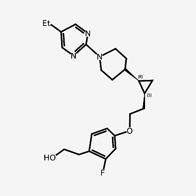 CCc1cnc(N2CCC([C@H]3C[C@H]3CCOc3ccc(CCO)c(F)c3)CC2)nc1